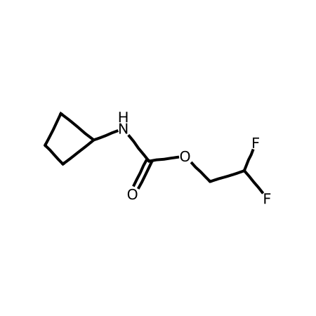 O=C(NC1CCC1)OCC(F)F